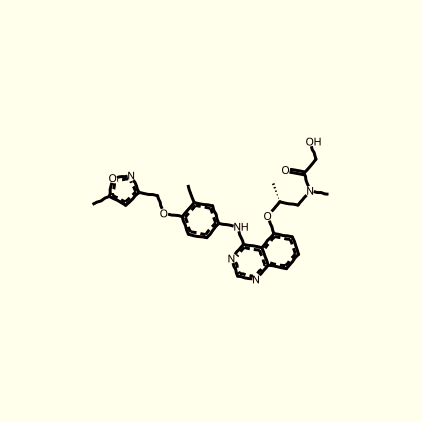 Cc1cc(COc2ccc(Nc3ncnc4cccc(O[C@H](C)CN(C)C(=O)CO)c34)cc2C)no1